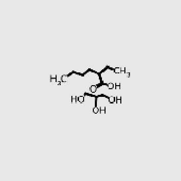 CCCCC(CC)C(=O)O.OCC(O)CO